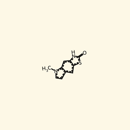 Cn1ccc2cc3sc(=O)[nH]c3cc21